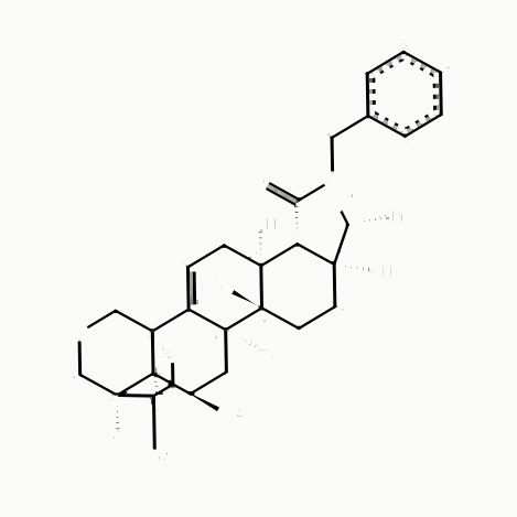 CC(=O)OC1[C@H](OC(C)=O)C[C@@]23COC[C@@]1(C)[C@@H]2CC[C@H]1C3=CC[C@@]2(C)[C@H](C(=O)OCc3ccccc3)[C@@](C)([C@H](C)C(C)C)CC[C@]12C